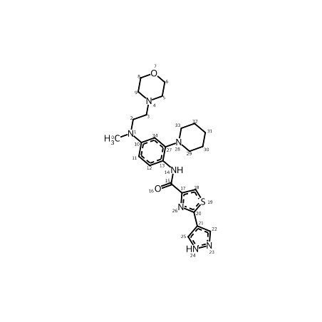 CN(CCN1CCOCC1)c1ccc(NC(=O)c2csc(-c3cn[nH]c3)n2)c(N2CCCCC2)c1